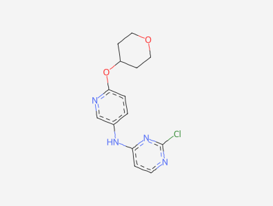 Clc1nccc(Nc2ccc(OC3CCOCC3)nc2)n1